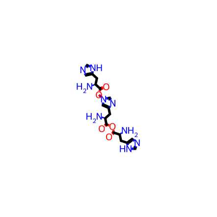 N[C@@H](Cc1cn(OC(=O)[C@@H](N)Cc2cnc[nH]2)cn1)C(=O)OC(=O)[C@@H](N)Cc1cnc[nH]1